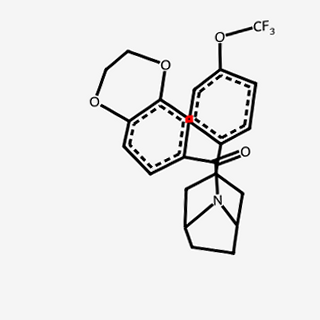 O=C(c1ccc2c(c1)OCCO2)N1C2CCC1CC(c1ccc(OC(F)(F)F)cc1)C2